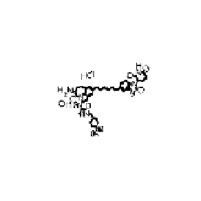 C[C@@H](C(=O)NCc1ccc(S(C)(=O)=O)cc1)N(C=O)[C@@H]1Cc2cc(CCCCCCc3ccc4c(c3)n(C)c(=O)n4C3CCC(=O)NC3=O)cc3c2N1C(=O)[C@@H](N)CC3.Cl